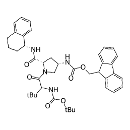 CC(C)(C)OC(=O)NC(C(=O)N1C[C@@H](NC(=O)OCC2c3ccccc3-c3ccccc32)C[C@H]1C(=O)N[C@@H]1CCCc2ccccc21)C(C)(C)C